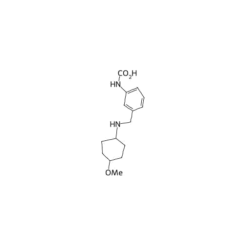 COC1CCC(NCc2cccc(NC(=O)O)c2)CC1